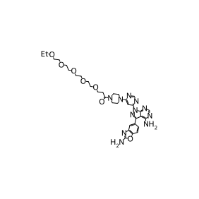 CCOCCOCCOCCOCCOCCC(=O)N1CCN(c2cc(-n3nc(-c4ccc5oc(N)nc5c4)c4c(N)ncnc43)ncn2)CC1